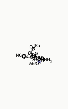 CO/N=C(\C(=O)N[C@@H]1C(=O)N2C(C(=O)OCOC(=O)C(C)(C)C)=C(OCc3ccc(C#N)cc3)CS[C@@H]12)c1csc(N)n1